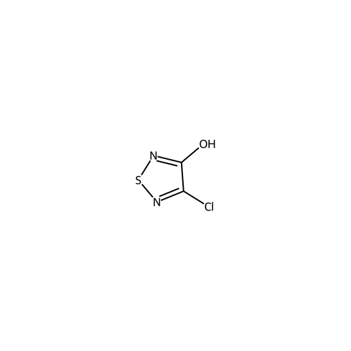 Oc1nsnc1Cl